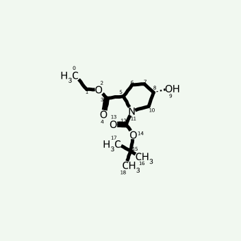 CCOC(=O)C1CC[C@H](O)CN1C(=O)OC(C)(C)C